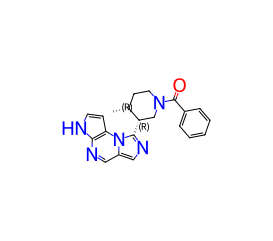 C[C@@H]1CCN(C(=O)c2ccccc2)C[C@@H]1c1ncc2cnc3[nH]ccc3n12